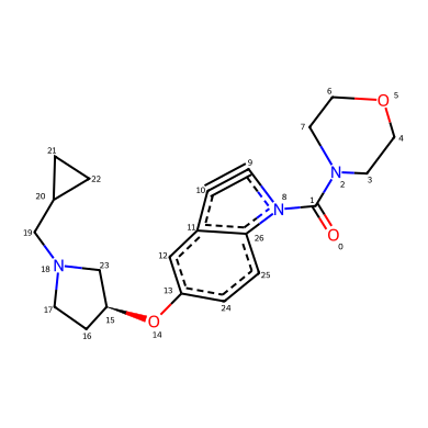 O=C(N1CCOCC1)n1c#cc2cc(O[C@H]3CCN(CC4CC4)C3)ccc21